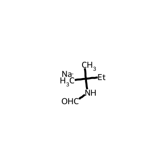 CCC(C)(C)NC=O.[Na]